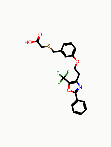 O=C(O)CSCc1cccc(OCCc2nc(-c3ccccc3)oc2C(F)(F)F)c1